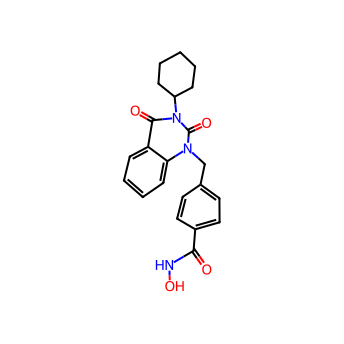 O=C(NO)c1ccc(Cn2c(=O)n(C3CCCCC3)c(=O)c3ccccc32)cc1